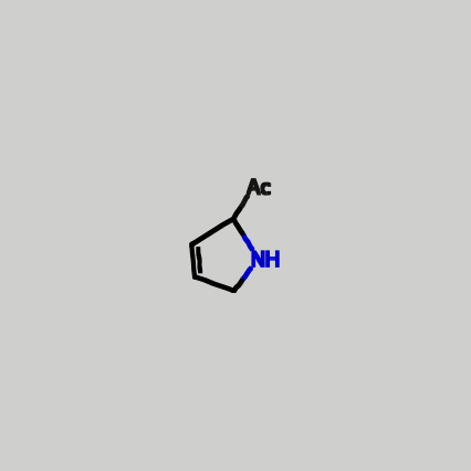 CC(=O)C1C=CCN1